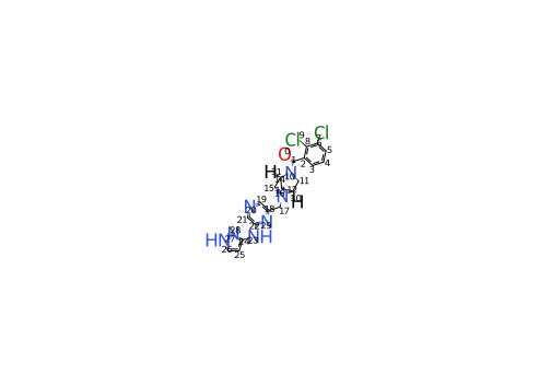 O=C(c1cccc(Cl)c1Cl)N1C[C@H]2C[C@@H]1CN2Cc1cncc(Nc2cc[nH]n2)n1